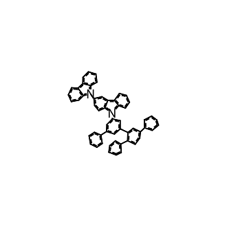 c1ccc(-c2cc(-c3cc(-c4ccccc4)ccc3-c3ccccc3)cc(-n3c4ccccc4c4cc(-n5c6ccccc6c6ccccc65)ccc43)c2)cc1